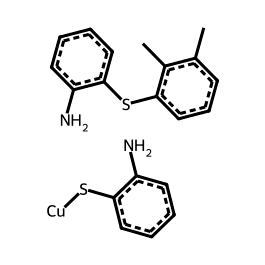 Cc1cccc(Sc2ccccc2N)c1C.Nc1ccccc1[S][Cu]